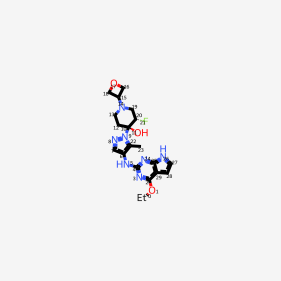 CCOc1nc(Nc2cnn([C@]3(O)CCN(C4COC4)C[C@@H]3F)c2C)nc2[nH]ccc12